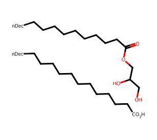 CCCCCCCCCCCCCCCCCCCC(=O)OCC(O)CO.CCCCCCCCCCCCCCCCCCCCCC(=O)O